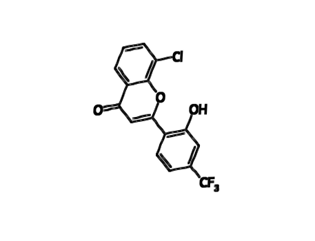 O=c1cc(-c2ccc(C(F)(F)F)cc2O)oc2c(Cl)cccc12